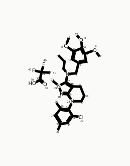 CCCN(Cc1cc(OC)c(OC)c(OC)c1)c1c2c(nn1C)N(c1c(C)cc(C)cc1Cl)CCC2.O=C(O)C(F)(F)F